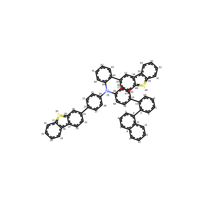 c1ccc(-c2cccc3ccccc23)c(-c2ccc(N(c3ccc(-c4ccc5c(c4)sc4ccccc45)cc3)c3ccccc3-c3ccc4sc5ccccc5c4c3)cc2)c1